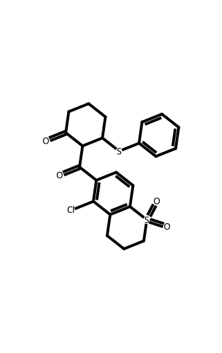 O=C1CCCC(Sc2ccccc2)C1C(=O)c1ccc2c(c1Cl)CCCS2(=O)=O